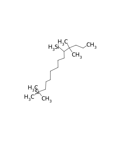 CCCC(C)(C)C([SiH3])CCCCCCC[Si](C)(C)C